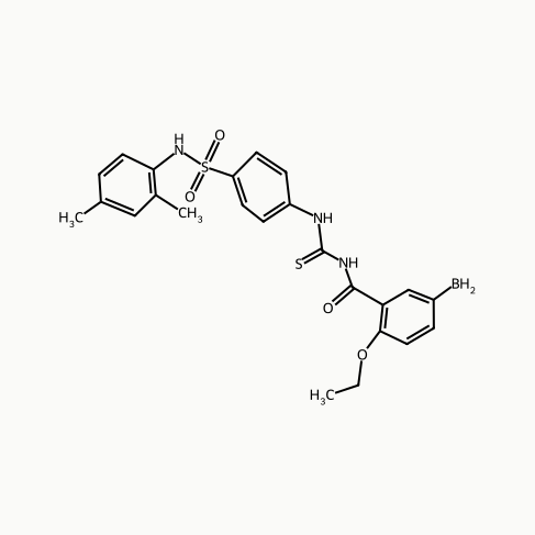 Bc1ccc(OCC)c(C(=O)NC(=S)Nc2ccc(S(=O)(=O)Nc3ccc(C)cc3C)cc2)c1